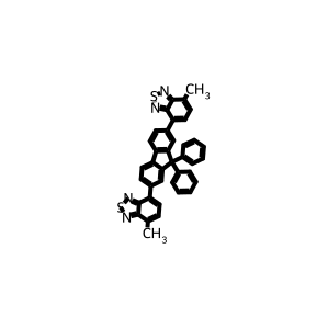 Cc1ccc(-c2ccc3c(c2)C(c2ccccc2)(c2ccccc2)c2cc(-c4ccc(C)c5nsnc45)ccc2-3)c2nsnc12